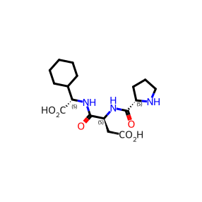 O=C(O)C[C@H](NC(=O)[C@@H]1CCCN1)C(=O)N[C@H](C(=O)O)C1CCCCC1